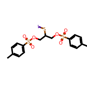 Cc1ccc(S(=O)(=O)OCC(COS(=O)(=O)c2ccc(C)cc2)SI)cc1